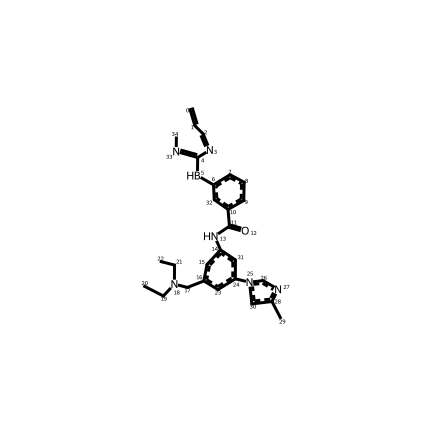 C=C/C=N\C(Bc1cccc(C(=O)Nc2cc(CN(CC)CC)cc(-n3cnc(C)c3)c2)c1)=N/C